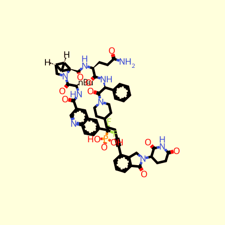 CCCC[C@H](NC(=O)c1cnc2ccc(C(F)(F)P(=O)(O)O)cc2c1)C(=O)N1C[C@@H]2C3[C@@H]2[C@@]31C(=O)N[C@@H](CCC(N)=O)C(=O)N[C@H](C(=O)N1CCC(CCC#Cc2cccc3c2CN(C2CCC(=O)NC2=O)C3=O)CC1)c1ccccc1